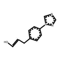 O/C=C/Cc1ccc(-n2cncn2)cc1